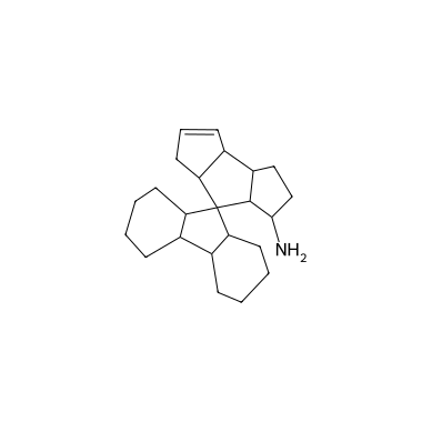 NC1CCC2C3C=CCC3C3(C4CCCCC4C4CCCCC43)C12